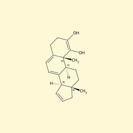 C[C@@]12CC=C[C@H]1C1=CC=C3CCC(O)=C(O)[C@]3(C)[C@H]1CC2